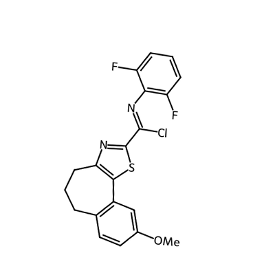 COc1ccc2c(c1)-c1sc(/C(Cl)=N/c3c(F)cccc3F)nc1CCC2